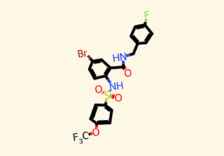 O=C(NCc1ccc(F)cc1)c1cc(Br)ccc1NS(=O)(=O)c1ccc(OC(F)(F)F)cc1